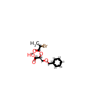 CC(Br)C(=O)O[C@@H](COCc1ccccc1)C(=O)O